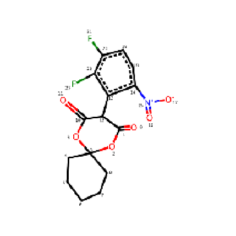 O=C1OC2(CCCCC2)OC(=O)C1c1c([N+](=O)[O-])ccc(F)c1F